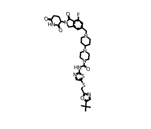 CC(C)(C)c1cnc(CSc2cnc(NC(=O)N3CCN(C4CCN(Cc5cc(F)c6c(c5)CN(C5CCC(=O)NC5=O)C6=O)CC4)CC3)s2)o1